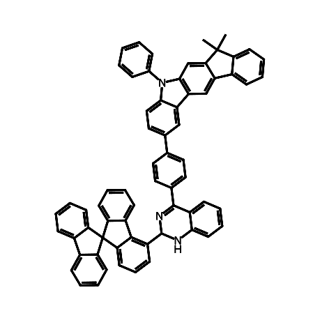 CC1(C)c2ccccc2-c2cc3c4cc(-c5ccc(C6=NC(c7cccc8c7-c7ccccc7C87c8ccccc8-c8ccccc87)Nc7ccccc76)cc5)ccc4n(-c4ccccc4)c3cc21